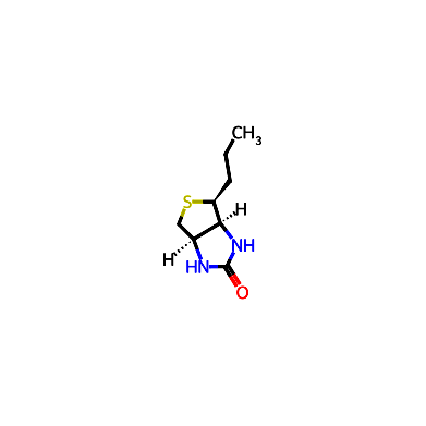 CCC[C@@H]1SC[C@@H]2NC(=O)N[C@@H]21